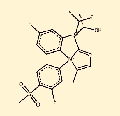 CC1=CC=C(C[C@H](C)O)[N+]1(c1ccc(S(C)(=O)=O)c(F)c1)c1ccc(F)cc1OC(F)F